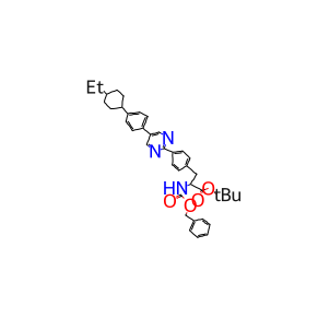 CCC1CCC(c2ccc(-c3cnc(-c4ccc(CC(NC(=O)OCc5ccccc5)C(=O)OC(C)(C)C)cc4)nc3)cc2)CC1